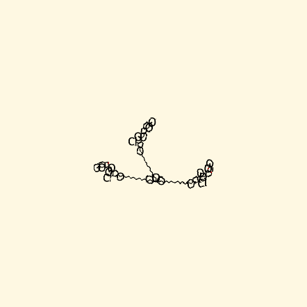 O=C(Oc1ccc2ccc(=O)oc2c1)c1ccc(OCCCCCCCCCCOCC(COCCCCCCCCCCOc2ccc(C(=O)Oc3ccc4ccc(=O)oc4c3)c(Cl)c2)OCCCCCCCCCCOc2ccc(C(=O)Oc3ccc4ccc(=O)oc4c3)c(Cl)c2)cc1Cl